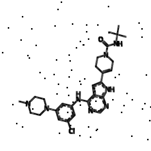 CN1CCN(c2cc(Cl)cc(Nc3ncnc4[nH]c(C5=CCN(C(=O)NC(C)(C)C)CC5)cc34)c2)CC1